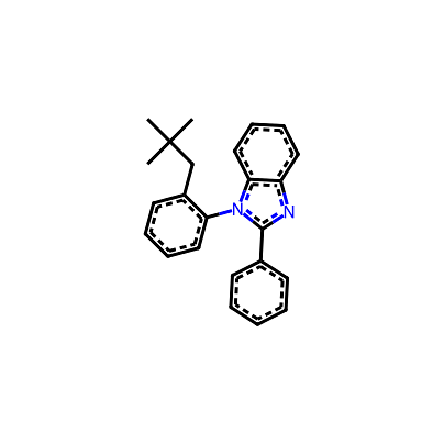 CC(C)(C)Cc1ccccc1-n1c(-c2ccccc2)nc2ccccc21